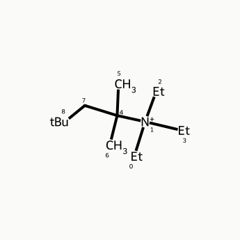 CC[N+](CC)(CC)C(C)(C)CC(C)(C)C